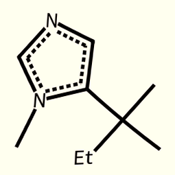 CCC(C)(C)c1cncn1C